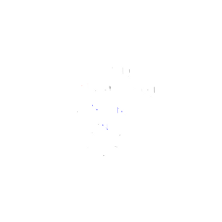 CCOC(=O)c1nc(N2CCCCC2)n(C)c(=O)c1OCC